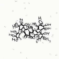 Bc1cc(O)c2c3c(O)c(-c4c(O)c(C)c5c(c4O)c4c(O)c(O)c(O)c6c7c(O)c(O)c(O)c(C)c7n5c64)c(B)c4c5c(O)c(O)c(O)c(O)c5n(c2c1O)c43